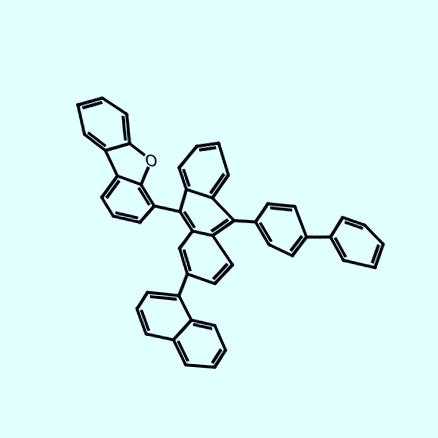 c1ccc(-c2ccc(-c3c4ccccc4c(-c4cccc5c4oc4ccccc45)c4cc(-c5cccc6ccccc56)ccc34)cc2)cc1